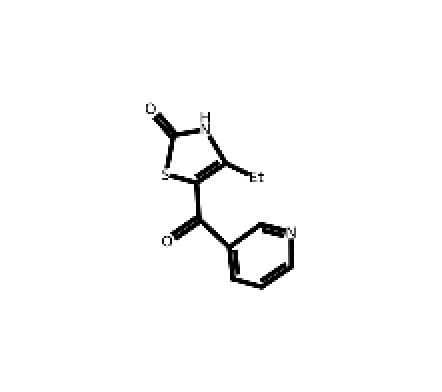 CCc1[nH]c(=O)sc1C(=O)c1cccnc1